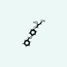 OC[C@H](O)COc1ccc(OCc2ccccc2)cc1